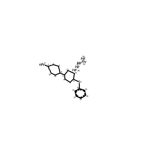 CCCC1CCC(C2CCC(Sc3ccccc3)CC2)CC1.F.F.F.F.F